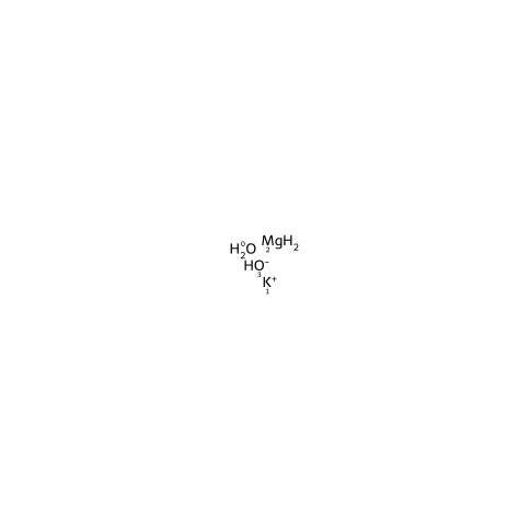 O.[K+].[MgH2].[OH-]